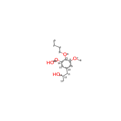 CCCCOc1c(OC)cc(CC(C)O)cc1OO